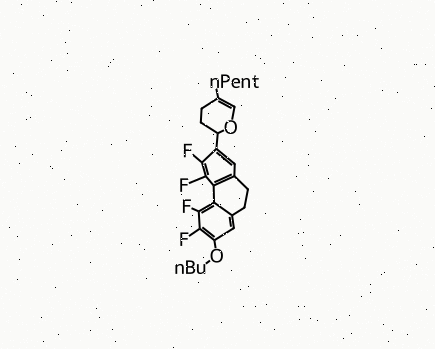 CCCCCC1=COC(c2cc3c(c(F)c2F)-c2c(cc(OCCCC)c(F)c2F)CC3)CC1